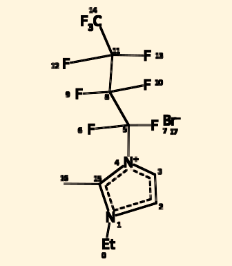 CCn1cc[n+](C(F)(F)C(F)(F)C(F)(F)C(F)(F)F)c1C.[Br-]